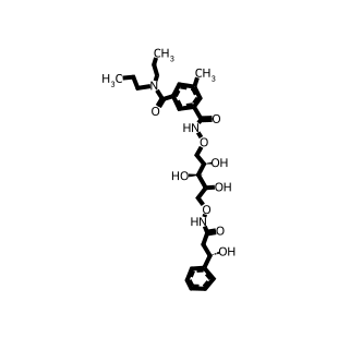 CCCN(CCC)C(=O)c1cc(C)cc(C(=O)NOC[C@H](O)[C@H](O)C(O)CONC(=O)C[C@H](O)c2ccccc2)c1